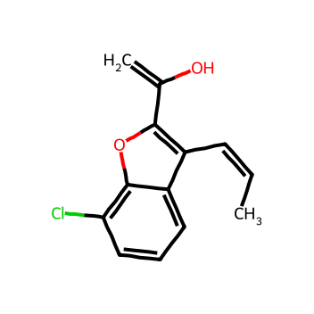 C=C(O)c1oc2c(Cl)cccc2c1/C=C\C